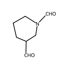 O=CC1CCCN(C=O)C1